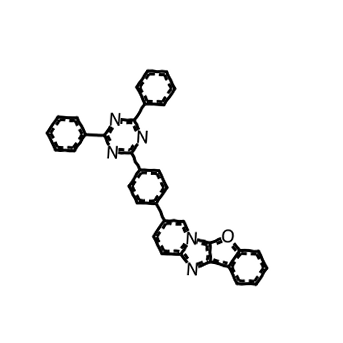 c1ccc(-c2nc(-c3ccccc3)nc(-c3ccc(-c4ccc5nc6c7ccccc7oc6n5c4)cc3)n2)cc1